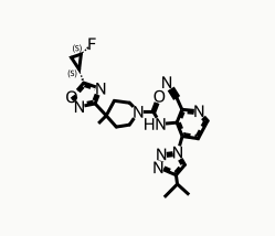 CC(C)c1cn(-c2ccnc(C#N)c2NC(=O)N2CCC(C)(c3noc([C@@H]4C[C@@H]4F)n3)CC2)nn1